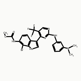 COC(=O)Nc1ccc2c(-c3nc(Nc4cccc(N(C)C)c4)ncc3C(F)(F)F)c[nH]c2c1Br